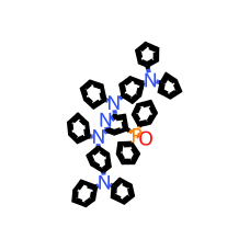 O=P(c1ccccc1)(c1ccccc1)c1cc(N(c2ccccc2)c2ccc(N(c3ccccc3)c3ccccc3)cc2)nc(N(c2ccccc2)c2ccc(N(c3ccccc3)c3ccccc3)cc2)c1